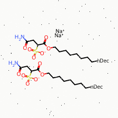 CCCCCCCCCCCCCCCCCCOC(=O)C(CC(N)=O)S(=O)(=O)[O-].CCCCCCCCCCCCCCCCCCOC(=O)C(CC(N)=O)S(=O)(=O)[O-].[Na+].[Na+]